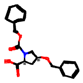 O=C(O)[C@@H]1C[C@H](OCc2ccccc2)CN1C(=O)OCc1ccccc1